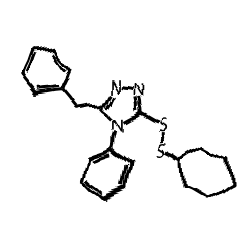 c1ccc(Cc2nnc(SSC3CCCCC3)n2-c2ccccc2)cc1